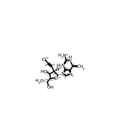 C=C1NC(N)=Nc2c1ncn2[C@@H]1OC([C@@H](C)O)C(O)[C@]1(N)C#CCl